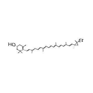 CCC1(C)C[C@@]1(C)/C=C/C(C)=C/C=C/C(C)=C/C=C/C=C(C)/C=C/C=C(C)/C=C/C1=C(C)C[C@@H](O)CC1(C)C